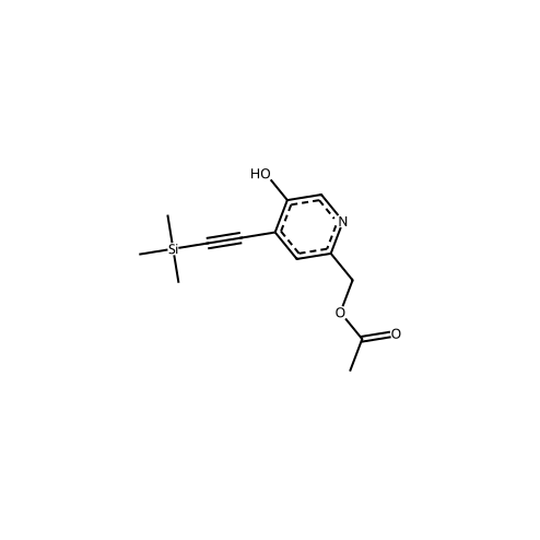 CC(=O)OCc1cc(C#C[Si](C)(C)C)c(O)cn1